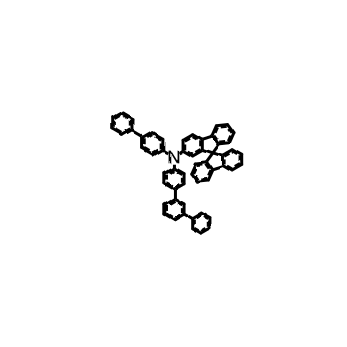 c1ccc(-c2ccc(N(c3ccc(-c4cccc(-c5ccccc5)c4)cc3)c3ccc4c(c3)C3(c5ccccc5-c5ccccc53)c3ccccc3-4)cc2)cc1